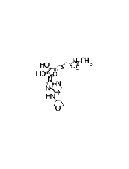 Cc1nc(CSC[C@@H]2O[C@@H](n3cnc4c(NC5CCOC5)ncnc43)[C@@H](O)[C@H]2O)cs1